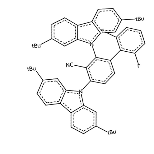 CC(C)(C)c1ccc2c3ccc(C(C)(C)C)cc3n(-c3ccc(-c4c(F)cccc4F)c(-n4c5cc(C(C)(C)C)ccc5c5ccc(C(C)(C)C)cc54)c3C#N)c2c1